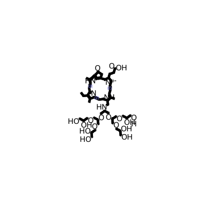 CCC1=C(C)/C2=C/C3NC(=C(C)C3CNC(COC(COCC(O)CO)COCC(O)CO)COC(COCC(O)CO)COCC(O)CO)/C=C3\N=C(C4=c5[nH]/c(c(C)c5C(=O)C4)=C\C1=N2)C(CCC(=O)O)[C@@H]3C